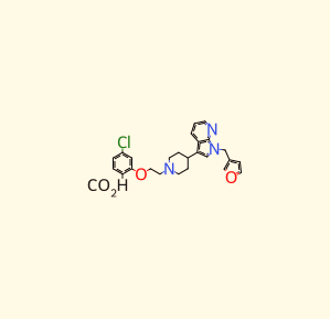 O=C(O)c1ccc(Cl)cc1OCCN1CCC(c2cn(Cc3ccoc3)c3ncccc23)CC1